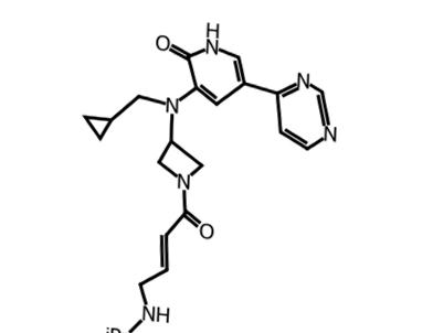 CC(C)NC/C=C/C(=O)N1CC(N(CC2CC2)c2cc(-c3ccncn3)c[nH]c2=O)C1